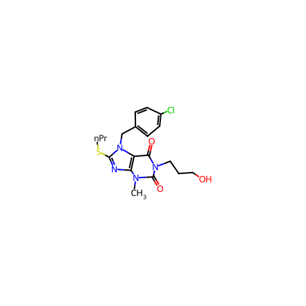 CCCSc1nc2c(c(=O)n(CCCO)c(=O)n2C)n1Cc1ccc(Cl)cc1